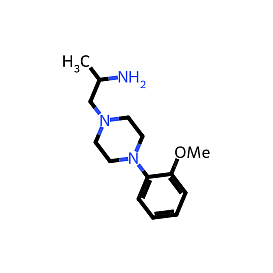 COc1ccccc1N1CCN(CC(C)N)CC1